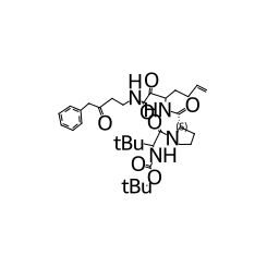 C=CCCC(NC(=O)[C@@H]1CCCN1C(=O)C(NC(=O)OC(C)(C)C)C(C)(C)C)C(=O)C(=O)NCCC(=O)Cc1ccccc1